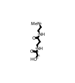 CNCCNC(=O)CCNC(=O)CO